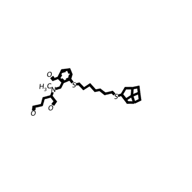 CN(Cc1c(C=O)cccc1SCCCCCCCSC12CC3CC4CC(C1)C43C2)C(C=O)CCC=O